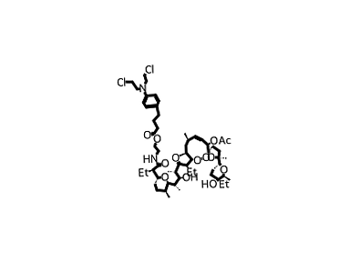 CC[C@@H](C(=O)[C@@H](C)[C@@H](O)[C@H](C)[C@@H]1O[C@@H]([C@@H](CC)C(=O)NCCOC(=O)CCCc2ccc(N(CCCl)CCCl)cc2)CC[C@@H]1C)[C@H]1OO[C@@]2(CC[C@@](C)([C@H]3CC[C@](O)(CC)[C@H](C)O3)O2)[C@H](OC(C)=O)/C=C\[C@H](C)C[C@@H]1C